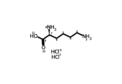 Cl.Cl.NCCCC[C@H](N)C(=O)O